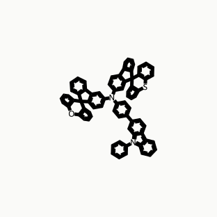 c1ccc(-n2c3ccccc3c3ccc(-c4ccc(N(c5ccc6c(c5)-c5ccccc5C65c6ccccc6Oc6ccccc65)c5ccc6c(c5)C5(c7ccccc7Sc7ccccc75)c5ccccc5-6)cc4)cc32)cc1